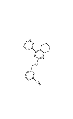 N#Cc1cccc(COc2cc(-c3cncnc3)c3c(n2)CCCC3)c1